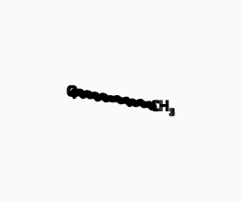 CCCCCCCCCCCCCC=CC=CC=CC=C[C]=O